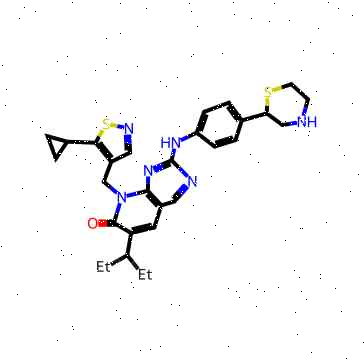 CCC(CC)c1cc2cnc(Nc3ccc(C4CNCCS4)cc3)nc2n(Cc2cnsc2C2CC2)c1=O